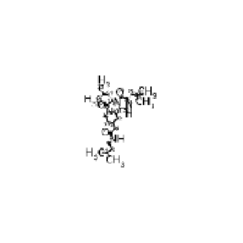 CC(C)CCNC(=O)CC1CCN(C(=O)[C@H](CC(C)C)N2CCN[C@@H](CC(C)C)C2=O)CC1